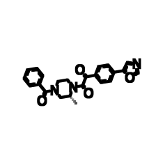 C[C@@H]1CN(C(=O)c2ccccc2)CCN1C(=O)C(=O)c1ccc(-c2cnco2)cc1